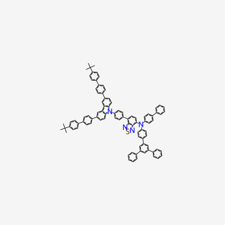 CC(C)(C)c1ccc(-c2ccc(-c3ccc4c(c3)c3cc(-c5ccc(-c6ccc(C(C)(C)C)cc6)cc5)ccc3n4-c3ccc(-c4ccc(N(c5ccc(-c6ccccc6)cc5)c5ccc(-c6cc(-c7ccccc7)cc(-c7ccccc7)c6)cc5)c5nsnc45)cc3)cc2)cc1